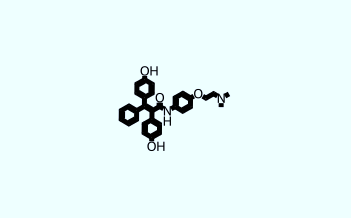 CN(C)CCOc1ccc(NC(=O)/C(=C(/c2ccccc2)c2ccc(O)cc2)c2ccc(O)cc2)cc1